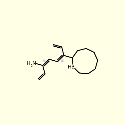 C=C/C(=C\C=C(\N)C=C)C1BCCCCCCC1